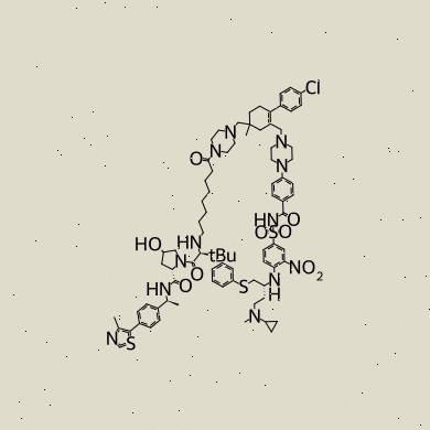 Cc1ncsc1-c1ccc([C@H](C)NC(=O)[C@@H]2C[C@@H](O)CN2C(=O)[C@@H](NCCCCCCCC(=O)N2CCN(CC3(C)CCC(c4ccc(Cl)cc4)=C(CN4CCN(c5ccc(C(=O)NS(=O)(=O)c6ccc(N[C@H](CCN(C)C7CC7)CSc7ccccc7)c([N+](=O)[O-])c6)cc5)CC4)C3)CC2)C(C)(C)C)cc1